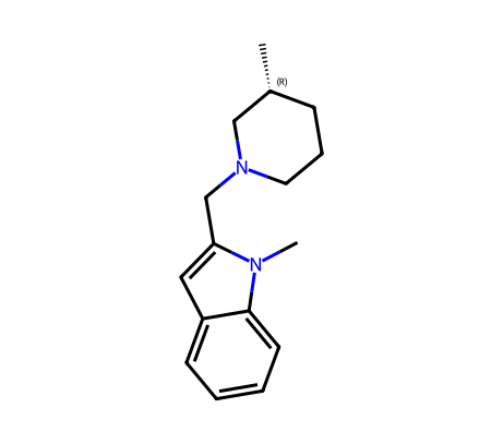 C[C@@H]1CCCN(Cc2cc3ccccc3n2C)C1